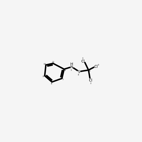 ClC(Cl)(Cl)SNc1ccccc1